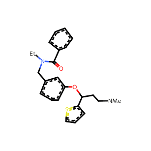 CCN(Cc1cccc(OC(CCNC)c2cccs2)c1)C(=O)c1ccccc1